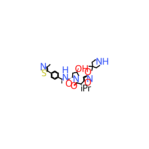 Cc1ncsc1-c1ccc([C@H](C)NC(=O)[C@@H]2C[C@@H](O)CN2C(=O)[C@H](c2cc(OCC3(C)CCNCC3)no2)C(C)C)cc1